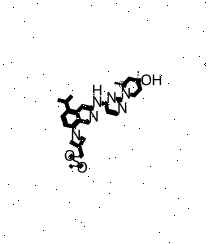 CC(C)c1ccc(N2CC(CS(C)(=O)=O)C2)c2cnc(Nc3ccnc(N4CC[C@](C)(O)C[C@@H]4C)n3)cc12